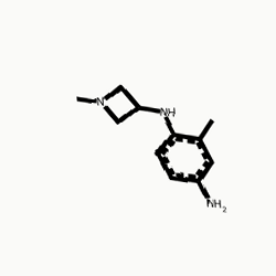 Cc1cc(N)ccc1NC1CN(C)C1